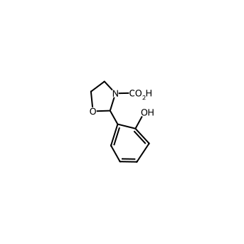 O=C(O)N1CCOC1c1ccccc1O